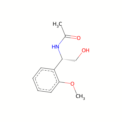 COc1ccccc1[C@@H](CO)NC(C)=O